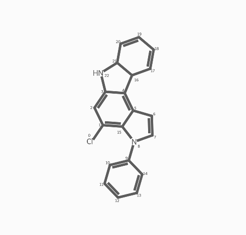 Clc1cc2c(c3ccn(-c4ccccc4)c13)C1C=CC=CC1N2